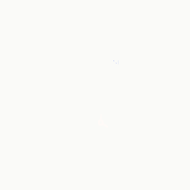 COc1ccc(C[NH])c2ccccc12